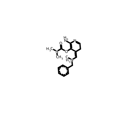 CN(C=C1CC=NC(N)=C1OC(=O)N(C)C)Cc1ccccc1